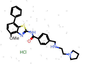 COc1ccc(-c2ccccc2)c2sc(NC(=O)c3ccc(CNCCN4CCCC4)cc3)nc12.Cl